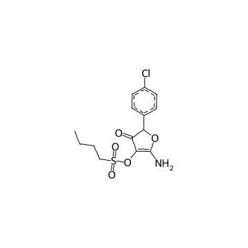 CCCCS(=O)(=O)OC1=C(N)OC(c2ccc(Cl)cc2)C1=O